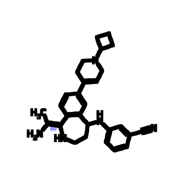 C/C(N)=C1/NCCC(Nc2cccc(C#N)c2)c2cc(C3=CCN(C4CCC4)CC3)ccc21